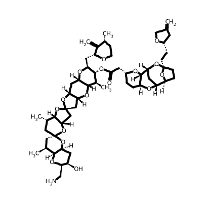 C=C1CO[C@@H](CC[C@]23CC[C@H](O2)[C@H]2C[C@@H](O3)[C@H]3O[C@@H](CC(=O)O[C@@H]4[C@@H](C)[C@@H]5O[C@@H]6C[C@]7(C[C@@H]8O[C@]9(C[C@H](C)[C@@H]%10O[C@H](CN)[C@H](O)C[C@@H]%10O9)C[C@H](C)[C@@H]8O7)O[C@@H]6C[C@@H]5O[C@H]4C[C@H]4OCC[C@@H](C)C4=C)CC[C@@H]3O2)C1